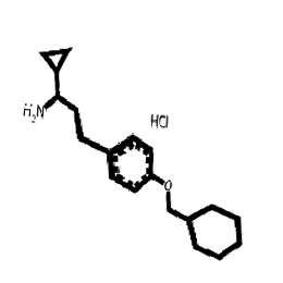 Cl.NC(CCc1ccc(OCC2CCCCC2)cc1)C1CC1